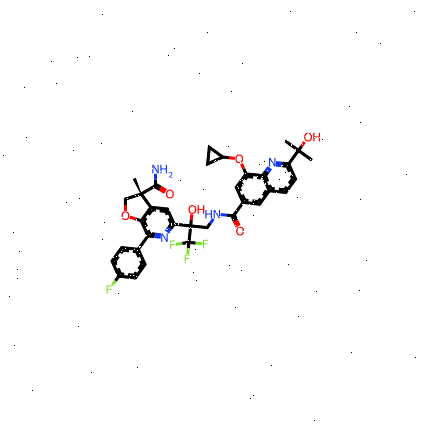 CC(C)(O)c1ccc2cc(C(=O)NCC(O)(c3cc4c(c(-c5ccc(F)cc5)n3)OC[C@]4(C)C(N)=O)C(F)(F)F)cc(OC3CC3)c2n1